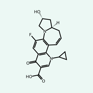 O=C(O)c1cn(C2CC2)c2c3c(c(F)cc2c1=O)N1C[C@H](O)C[C@H]1CC=C3